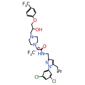 CC(C)Cc1cc(CNC(=O)[C@@H](N2CCN(CC(O)COc3ccc(C(F)(F)F)cc3)CC2)C(F)(F)F)nn1-c1cc(Cl)cc(Cl)c1